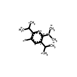 CC(C)c1cc(F)c(C(C)C)nc1N(C)C